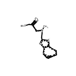 CC(C)COC(=O)CN(C)c1nc2ccccc2s1